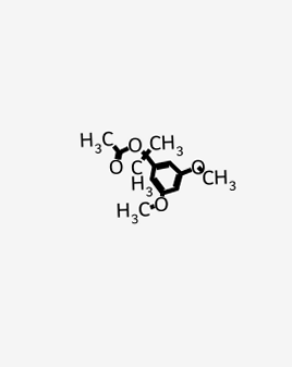 COc1cc(OC)cc(C(C)(C)OC(C)=O)c1